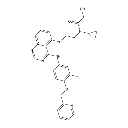 O=C(CO)N(CCOc1cccc2ncnc(Nc3ccc(OCc4ccccn4)c(Cl)c3)c12)C1CC1